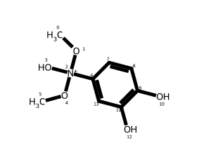 CO[N+](O)(OC)c1ccc(O)c(O)c1